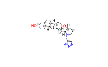 CC1=C2C[C@H]3[C@@H](CC=C4C[C@@H](O)CC[C@@]43C)[C@@H]2CC[C@]12O[C@@H]1C[C@H](C)CN(Cc3cnnn3C)[C@H]1[C@H]2C